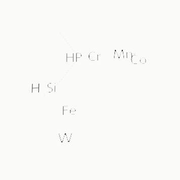 CP[SiH3].[Co].[Cr].[Fe].[Mn].[W]